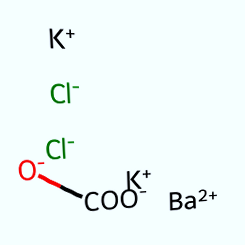 O=C([O-])[O-].[Ba+2].[Cl-].[Cl-].[K+].[K+]